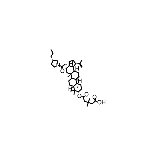 C=C(C)[C@@H]1CC[C@]2(CC(=O)N3CC[C@H](CCC)C3)CC[C@]3(C)[C@H](CC[C@@H]4[C@@]5(C)CC[C@H](OC(=O)CC(C)(C)CC(=O)O)C(C)(C)[C@@H]5CC[C@]43C)[C@@H]12